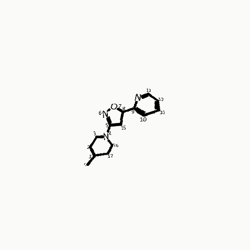 CC1CCN(C2=NOC(c3ccccn3)C2)CC1